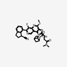 CSc1nc2c(F)c(-c3cccc4c3C(C#N)CC4)ncc2c2c1nc(CCC(=O)N(C)C)n2C1C2CC1N(C(=O)O)C2